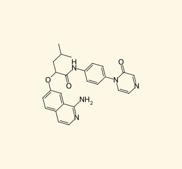 CC(C)CC(Oc1ccc2ccnc(N)c2c1)C(=O)Nc1ccc(-n2ccncc2=O)cc1